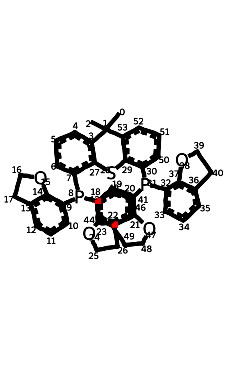 CC1(C)c2cccc(P(c3cccc4c3OCC4)c3cccc4c3OCC4)c2Sc2c(P(c3cccc4c3OCC4)c3cccc4c3OCC4)cccc21